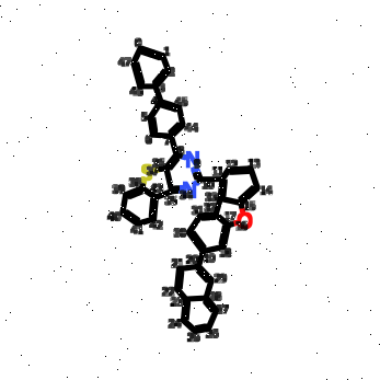 c1ccc(-c2ccc(-c3nc(-c4cccc5oc6cc(-c7ccc8ccccc8c7)ccc6c45)nc4c3sc3ccccc34)cc2)cc1